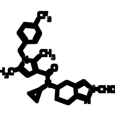 Cc1cc(C(=O)N(C2CC2)C2CCc3nn(C=O)cc3C2)c(C)n1Cc1ccc(C(F)(F)F)cc1